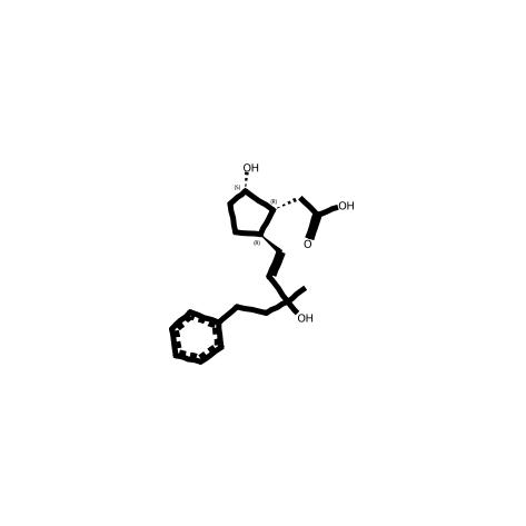 CC(O)(C=C[C@H]1CC[C@H](O)[C@@H]1CC(=O)O)CCc1ccccc1